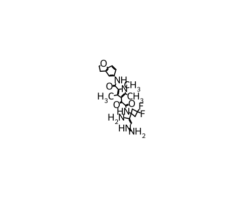 Cc1c(C(=O)C(=O)NC2(/C(N)=C/NN)CC(F)(F)C2)c(C)n(C)c1C(=O)Nc1ccc2c(c1)CCO2